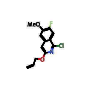 C=CCOc1cc2cc(OC)c(F)cc2c(Cl)n1